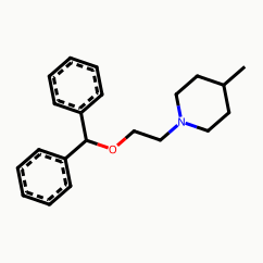 CC1CCN(CCOC(c2ccccc2)c2ccccc2)CC1